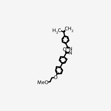 C=C(C)c1ccc(-c2nnc(-c3ccc(-c4ccc(OCCOC)cc4)cc3)o2)cc1